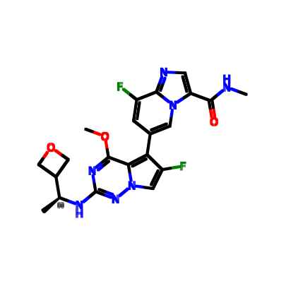 CNC(=O)c1cnc2c(F)cc(-c3c(F)cn4nc(N[C@@H](C)C5COC5)nc(OC)c34)cn12